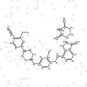 CCc1cc(N2CCN(Cc3ccc(COc4cccc5c4CN([C@H]4CCC(=O)NC4=O)C5=O)c(F)c3)CC2)ccc1C#N